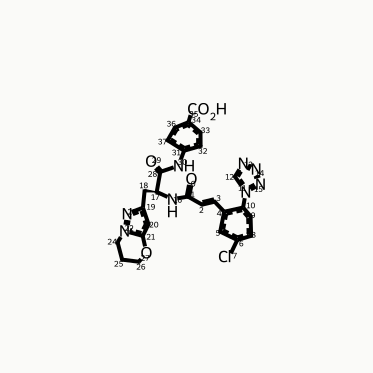 O=C(/C=C/c1cc(Cl)ccc1-n1cnnn1)N[C@@H](Cc1cc2n(n1)CCCO2)C(=O)Nc1ccc(C(=O)O)cc1